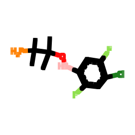 CC(C)(P)C(C)(C)OBc1cc(F)c(Cl)cc1F